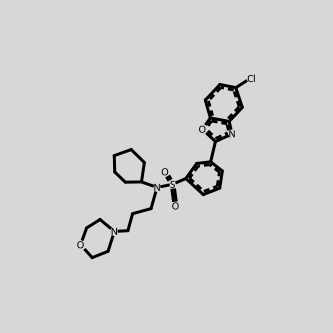 O=S(=O)(c1cccc(-c2nc3cc(Cl)ccc3o2)c1)N(CCCN1CCOCC1)C1CCCCC1